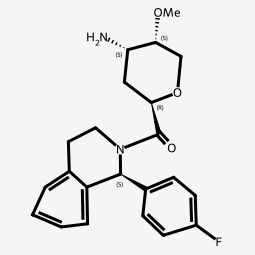 CO[C@@H]1CO[C@@H](C(=O)N2CCc3ccccc3[C@@H]2c2ccc(F)cc2)C[C@@H]1N